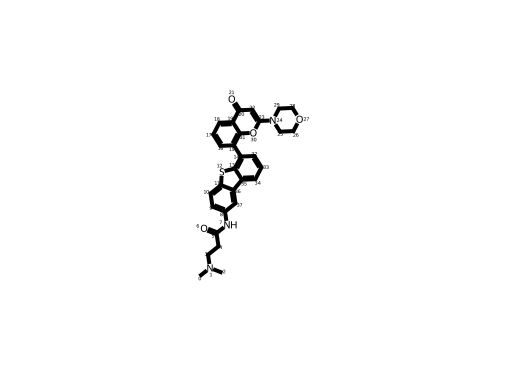 CN(C)CCC(=O)Nc1ccc2sc3c(-c4cccc5c(=O)cc(N6CCOCC6)oc45)cccc3c2c1